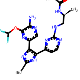 COC(=O)N[C@@H](C)CNc1nccc(-c2[nH]c(C(C)(C)C)nc2-c2cnc(N)c(OC(F)F)n2)n1